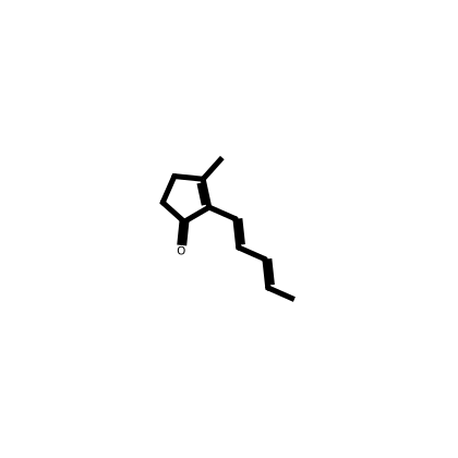 C/C=C/C=C/C1=C(C)CCC1=O